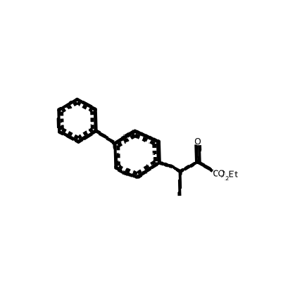 CCOC(=O)C(=O)C(C)c1ccc(-c2ccccc2)cc1